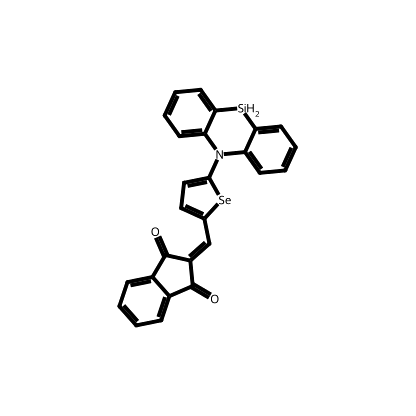 O=C1C(=Cc2ccc(N3c4ccccc4[SiH2]c4ccccc43)[se]2)C(=O)c2ccccc21